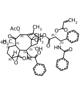 C=CC(=O)O[C@@H](C(=O)O[C@H]1C[C@@]2(O)[C@@H](OC(=O)c3ccccc3)C3[C@]4(OC(C)=O)O[C@@H]4C[C@H](O)[C@@]3(C)C(=O)[C@H](OC(C)=O)C(=C1C)C2(C)C)[C@@H](NC(=O)c1ccccc1)c1ccccc1